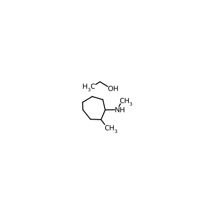 CCO.CNC1CCCCCC1C